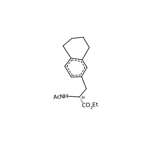 CCOC(=O)[C@@H](Cc1ccc2c(c1)CCCC2)NC(C)=O